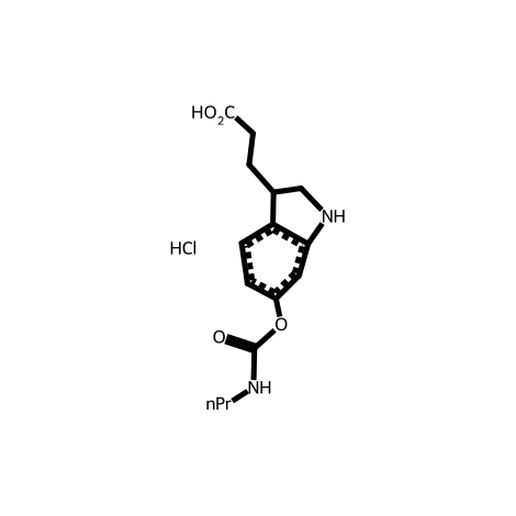 CCCNC(=O)Oc1ccc2c(c1)NCC2CCC(=O)O.Cl